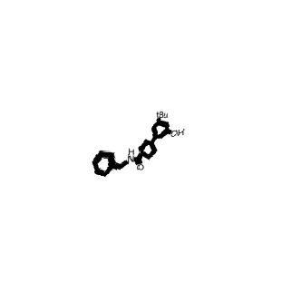 CC(C)(C)c1cc(O)cc(-c2ccc(C(=O)NCc3ccccc3)cc2)c1